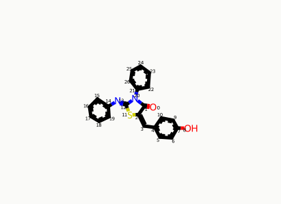 O=C1/C(=C\c2ccc(O)cc2)S/C(=N\c2ccccc2)N1c1ccccc1